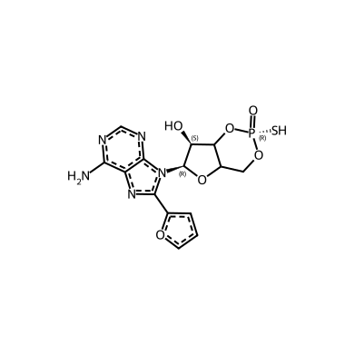 Nc1ncnc2c1nc(-c1ccco1)n2[C@@H]1OC2CO[P@@](=O)(S)OC2[C@@H]1O